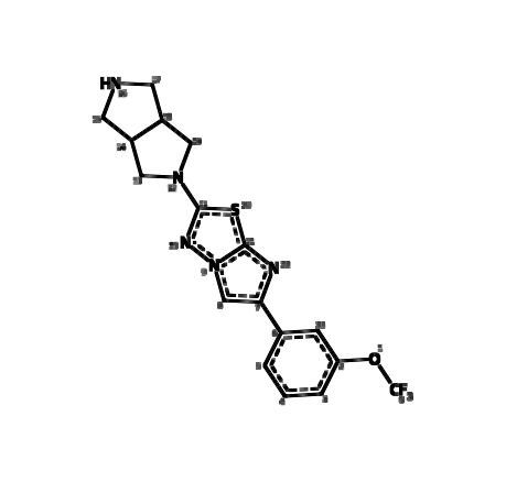 FC(F)(F)Oc1cccc(-c2cn3nc(N4CC5CNCC5C4)sc3n2)c1